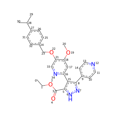 CCOC(=O)c1[nH]nc(-c2ccncc2)c1-c1cc(OC)c(OCc2ccc(C(C)C)cc2)cn1